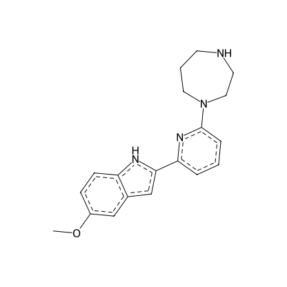 COc1ccc2[nH]c(-c3cccc(N4CCCNCC4)n3)cc2c1